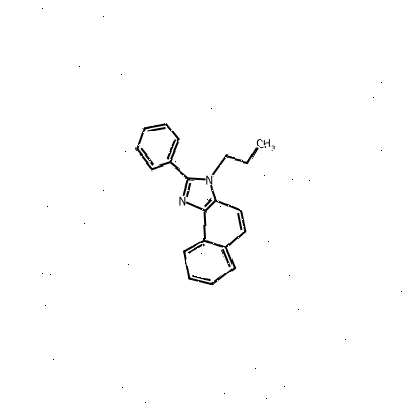 CCCn1c(-c2ccccc2)nc2c3ccccc3ccc21